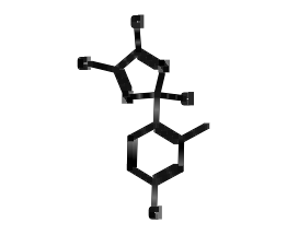 Cc1cc(Cl)ccc1C1(Cl)N=C(Cl)C(Cl)=N1